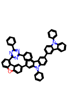 c1ccc(-c2nc(-c3ccccc3)nc(-c3cccc4oc5ccc(-c6ccc7c8cc(-c9ccc%10c(c9)c9ccccc9n%10-c9ccccc9)ccc8n(-c8ccccc8)c7c6)cc5c34)n2)cc1